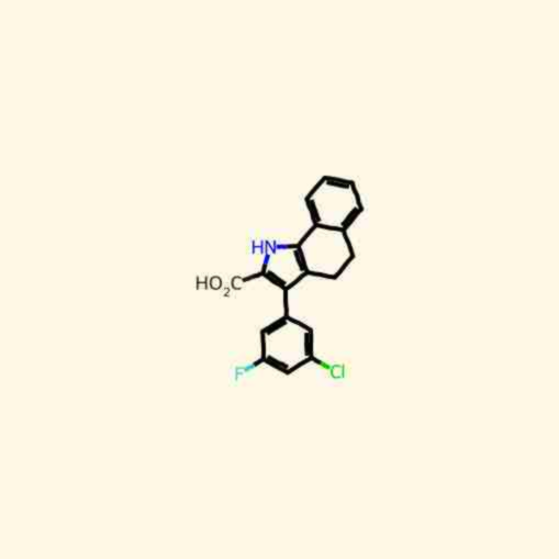 O=C(O)c1[nH]c2c(c1-c1cc(F)cc(Cl)c1)CCc1ccccc1-2